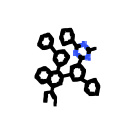 C=C/C(=C\C)c1cc(-c2cc(-c3ccccc3)cc(-c3nc(C)nc(-c4ccccc4)n3)c2)c(-c2cccc(-c3ccccc3)c2)c2ccccc12